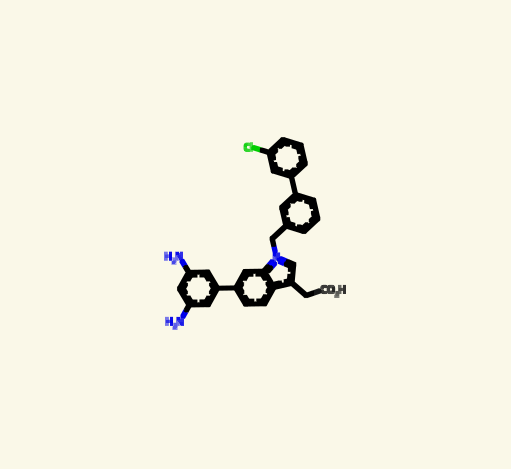 Nc1cc(N)cc(-c2ccc3c(CC(=O)O)cn(Cc4cccc(-c5cccc(Cl)c5)c4)c3c2)c1